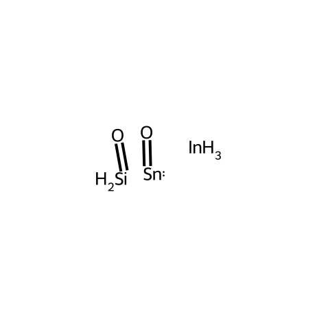 O=[SiH2].[InH3].[O]=[Sn]